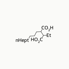 CCCCCCCCCCC(C(=O)O)C(CC)C(=O)O